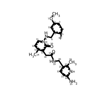 COc1ccc(F)c(CNn2ccc(C)c(CC(=O)NCc3ccc(N)nc3C)c2=O)c1